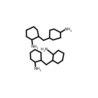 NC1CCC(CC2CCCCC2N)CC1.NC1CCCCC1CC1CCCCC1N